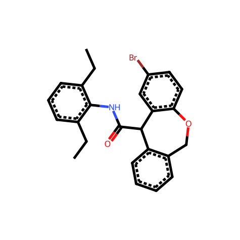 CCc1cccc(CC)c1NC(=O)C1c2ccccc2COc2ccc(Br)cc21